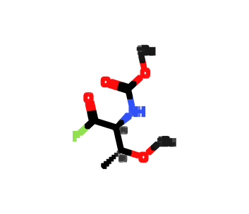 C[C@@H](OC(C)(C)C)[C@H](NC(=O)OC(C)(C)C)C(=O)F